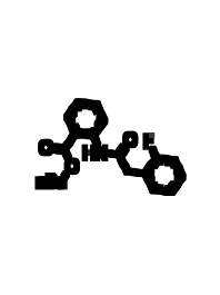 CCCCOC(=O)c1ccccc1NC(=O)Cc1ccccc1F